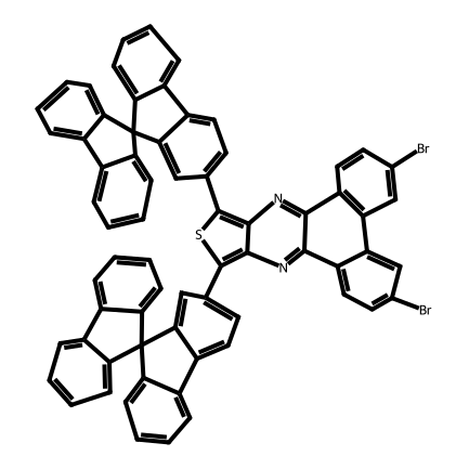 Brc1ccc2c(c1)c1cc(Br)ccc1c1nc3c(-c4ccc5c(c4)C4(c6ccccc6-c6ccccc64)c4ccccc4-5)sc(-c4ccc5c(c4)C4(c6ccccc6-c6ccccc64)c4ccccc4-5)c3nc21